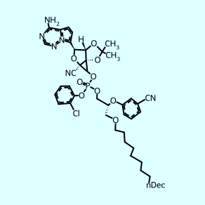 CCCCCCCCCCCCCCCCCCOC[C@H](COP(=O)(Oc1ccccc1Cl)OC1[C@@]2(C#N)O[C@@H](c3ccc4c(N)ncnn34)[C@@H]3OC(C)(C)O[C@@]132)Oc1cccc(C#N)c1